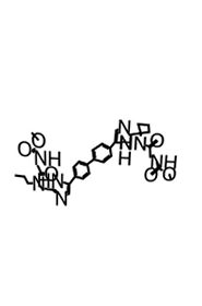 CCCN(Cc1ncc(-c2ccc(-c3ccc(-c4cnc(C5(NC(=O)CNC(=O)OC)CCC5)[nH]4)cc3)cc2)[nH]1)C(=O)CNC(=O)OC